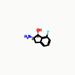 N[C@H]1Cc2cccc(F)c2[C@H]1O